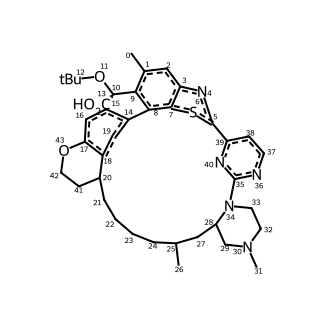 Cc1cc2nc3sc2c(c1[C@H](OC(C)(C)C)C(=O)O)-c1ccc2c(c1)C(CCCCC(C)CC1CN(C)CCN1c1nccc-3n1)CCO2